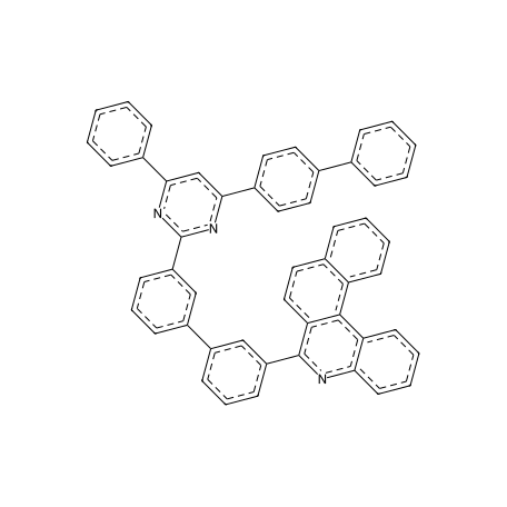 c1ccc(-c2ccc(-c3cc(-c4ccccc4)nc(-c4cccc(-c5cccc(-c6nc7ccccc7c7c6ccc6ccccc67)c5)c4)n3)cc2)cc1